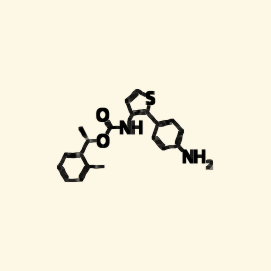 Cc1ccccc1[C@@H](C)OC(=O)Nc1ccsc1-c1ccc(N)cc1